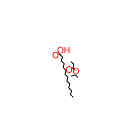 CCC(=O)OC(C)C.CCCCCCCCCCCCCC(=O)O